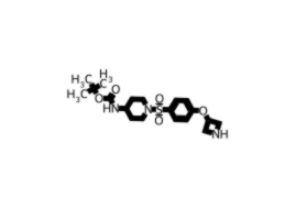 CC(C)(C)OC(=O)NC1CCN(S(=O)(=O)c2ccc(OC3CNC3)cc2)CC1